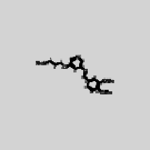 CNCCCOc1cncc(OCc2ccc(OC)c(OC)c2)c1